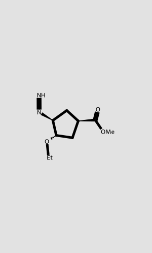 CCO[C@H]1C[C@H](C(=O)OC)C[C@@H]1N=N